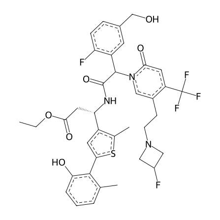 CCOC(=O)C[C@H](NC(=O)C(c1cc(CO)ccc1F)n1cc(CCN2CC(F)C2)c(C(F)(F)F)cc1=O)c1cc(-c2c(C)cccc2O)sc1C